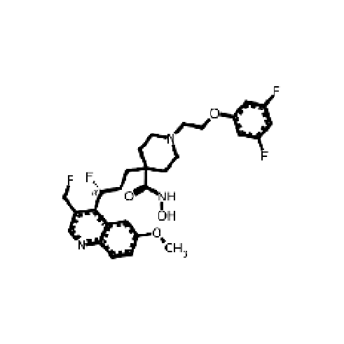 COc1ccc2ncc(CF)c([C@H](F)CCC3(C(=O)NO)CCN(CCOc4cc(F)cc(F)c4)CC3)c2c1